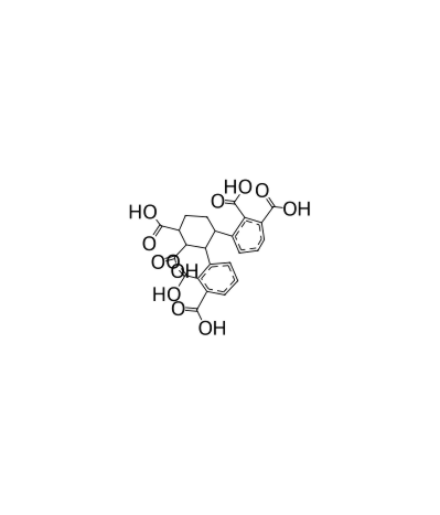 O=C(O)c1cccc(C2CCC(C(=O)O)C(C(=O)O)C2c2cccc(C(=O)O)c2C(=O)O)c1C(=O)O